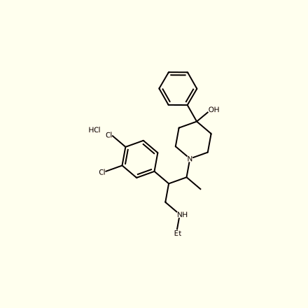 CCNCC(c1ccc(Cl)c(Cl)c1)C(C)N1CCC(O)(c2ccccc2)CC1.Cl